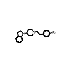 Brc1ccc(CCN2CCC(N3CCc4ccccc43)CC2)cc1